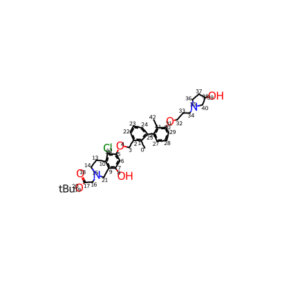 Cc1c(COc2cc(O)c3c(c2Cl)CCN(CC(=O)OC(C)(C)C)C3)cccc1-c1cccc(OCCCN2CC[C@@H](O)C2)c1C